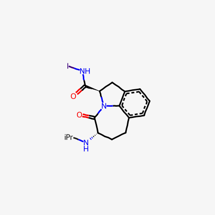 CC(C)N[C@H]1CCc2cccc3c2N(C1=O)[C@@H](C(=O)NI)C3